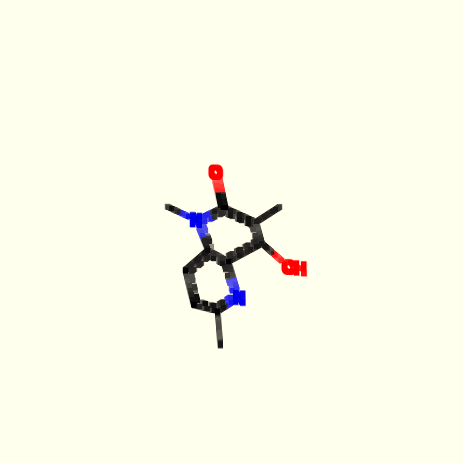 Cc1ccc2c(n1)c(O)c(C)c(=O)n2C